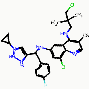 CC(C)(CCl)CNc1c(C#N)cnc2c(Cl)cc(NC(C3=CN(C4CC4)NN3)c3ccc(F)cc3)cc12